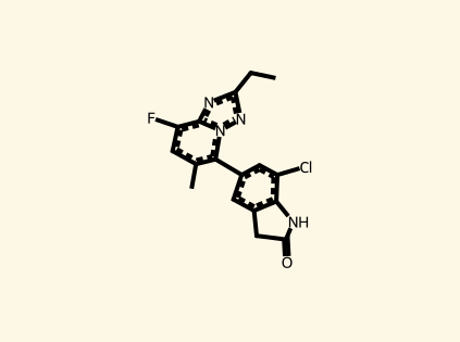 CCc1nc2c(F)cc(C)c(-c3cc(Cl)c4c(c3)CC(=O)N4)n2n1